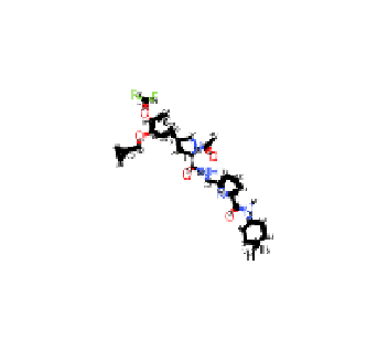 [2H]C1([2H])CCC(N(C)C(=O)c2cccc(CNC(=O)[C@H]3CC(c4ccc(OC(F)F)c(OCC5CC5)c4)CN3C(C)=O)n2)CC1